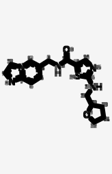 O=C(NCc1ccc2nccn2c1)c1cnc(NCC2CCCO2)s1